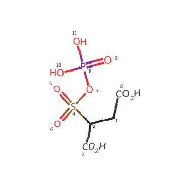 O=C(O)CC(C(=O)O)S(=O)(=O)OP(=O)(O)O